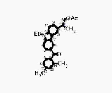 CCn1c2ccc(C(=O)c3ccc(C)cc3C)cc2c2cc(/C(C)=N/OC(C)=O)ccc21